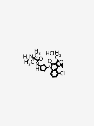 Cc1onc2c1c(=O)n(C1CCC(NC(=O)C(C)(C)N)C1)c1cccc(Cl)c21.Cl